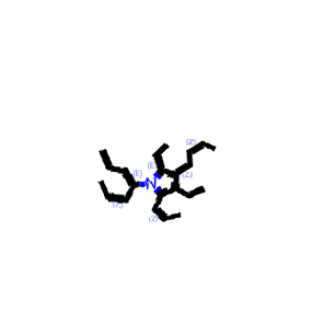 C=C/C=C(\C=C/C)n1c(/C=C\C)c(C=C)c(=C/C=C\C)/c1=C\C